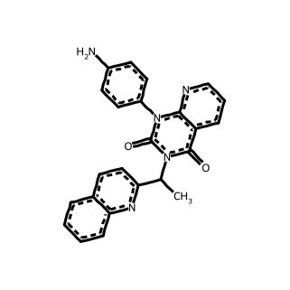 CC(c1ccc2ccccc2n1)n1c(=O)c2cccnc2n(-c2ccc(N)cc2)c1=O